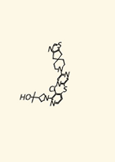 CC(C)(O)C1CN(c2nccc(Sc3cnc(N4CCC5(CC4)Cc4ncsc4C5)cn3)c2Cl)C1